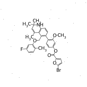 COc1cc(OC(=O)c2ccc(Br)o2)ccc1-c1ccc2c(c1COc1cc(F)ccc1C)C(C)=CC(C)(C)N2